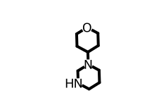 C1CNCN(C2CCOCC2)C1